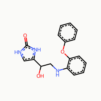 O=c1[nH]cc(C(O)CNc2ccccc2Oc2ccccc2)[nH]1